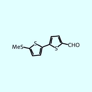 CSc1ccc(-c2ccc(C=O)s2)s1